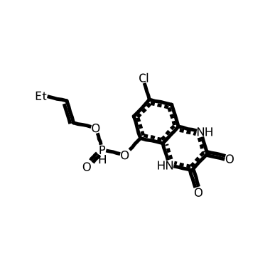 CCC=CO[PH](=O)Oc1cc(Cl)cc2[nH]c(=O)c(=O)[nH]c12